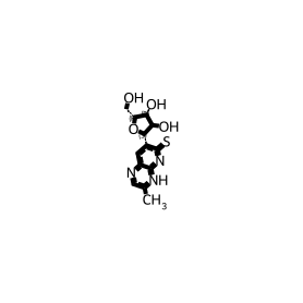 Cc1cnc2cc([C@@H]3O[C@H](CO)[C@H](O)C3O)c(=S)nc-2[nH]1